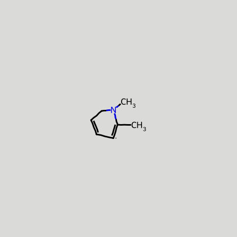 CC1=[C]C=CCN1C